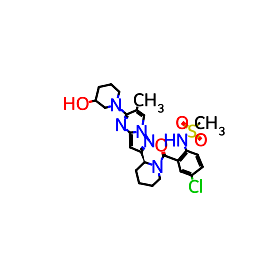 Cc1cn2nc([C@@H]3CCCCN3C(=O)c3cc(Cl)ccc3NS(C)(=O)=O)cc2nc1N1CCCC(O)C1